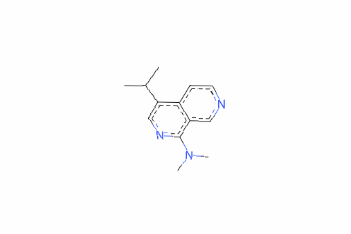 CC(C)c1cnc(N(C)C)c2cnccc12